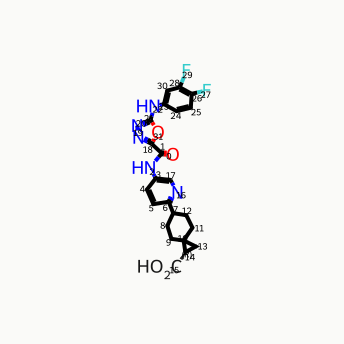 O=C(Nc1ccc(C2CCC3(CC2)C[C@H]3C(=O)O)nc1)c1nnc(Nc2ccc(F)c(F)c2)o1